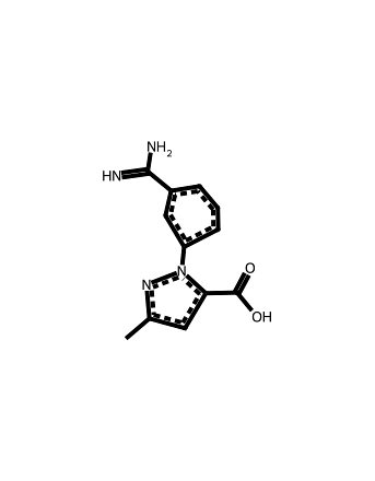 Cc1cc(C(=O)O)n(-c2cccc(C(=N)N)c2)n1